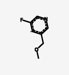 COCc1[c]c(F)cnc1